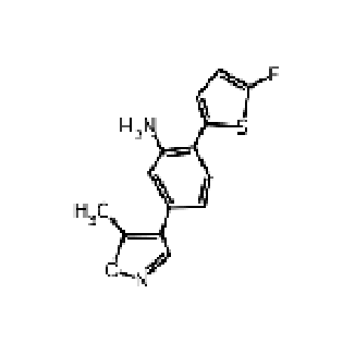 Cc1oncc1-c1ccc(-c2ccc(F)s2)c(N)c1